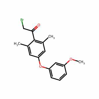 COc1cccc(Oc2cc(C)c(C(=O)CBr)c(C)c2)c1